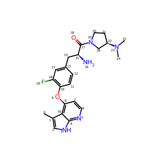 Cc1c[nH]c2nccc(Oc3ccc(C[C@H](N)C(=O)N4CC[C@@H](N(C)C)C4)cc3F)c12